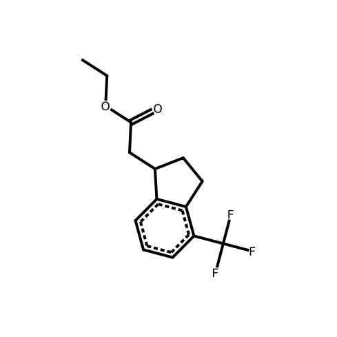 CCOC(=O)CC1CCc2c1cccc2C(F)(F)F